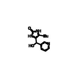 CCC(C)c1[nH]c(=O)[nH]c1C(O)c1cccnc1